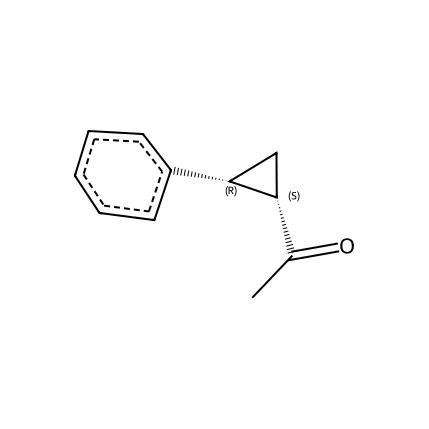 CC(=O)[C@H]1C[C@H]1c1ccccc1